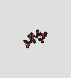 c1ccc(-c2nc(-c3ccccc3)nc(-c3ccc(-c4c(-c5cccc6c5-c5cc(-c7cccc(-c8nc(-c9ccccc9)nc(-c9ccc(-c%10c(-c%11ccc(-n%12c%13ccccc%13c%13ccccc%13%12)cc%11)ccc%11ccccc%10%11)cc9)n8)c7)ccc5C65c6ccccc6-c6ccccc65)ccc5ccccc45)cc3)n2)cc1